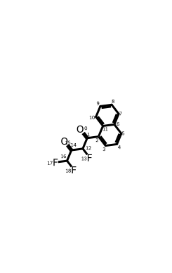 O=C(c1cccc2ccccc12)C(F)C(=O)C(F)F